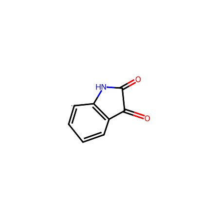 O=C1Nc2[c]cccc2C1=O